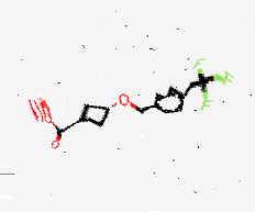 O=C(O)[C@H]1C[C@H](OCc2ccc(C(F)(F)F)cc2)C1